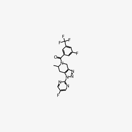 CC1Cc2c(nnn2-c2ncc(F)cn2)CN1C(=O)c1cc(F)cc(C(F)(F)F)c1